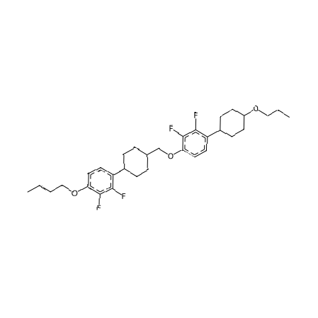 CCCCOc1ccc(C2CCC(COc3ccc(C4CCC(OCCC)CC4)c(F)c3F)CC2)c(F)c1F